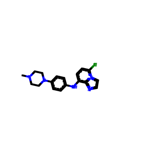 CN1CCN(c2ccc(Nc3ccc(Cl)n4ccnc34)cc2)CC1